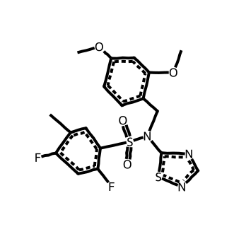 COc1ccc(CN(c2ncns2)S(=O)(=O)c2cc(C)c(F)cc2F)c(OC)c1